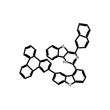 c1ccc2c(c1)SC1=C(c3ccc4ccccc4c3)N=C(c3cccc4oc5ccc(-c6ccc7c8ccccc8c8ccccc8c7c6)cc5c34)NC12